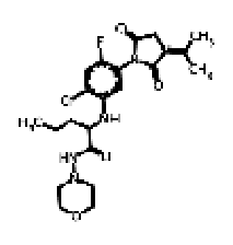 CCCC(Nc1cc(N2C(=O)CC(=C(C)C)C2=O)c(F)cc1Cl)C(=O)NN1CCOCC1